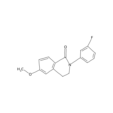 COc1ccc2c(c1)CCN(c1cccc(F)c1)C2=O